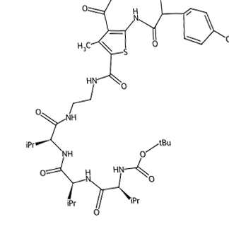 CCC(C(=O)Nc1sc(C(=O)NCCNC(=O)[C@@H](NC(=O)[C@@H](NC(=O)[C@@H](NC(=O)OC(C)(C)C)C(C)C)C(C)C)C(C)C)c(C)c1C(=O)OC)c1ccc(C#N)cc1